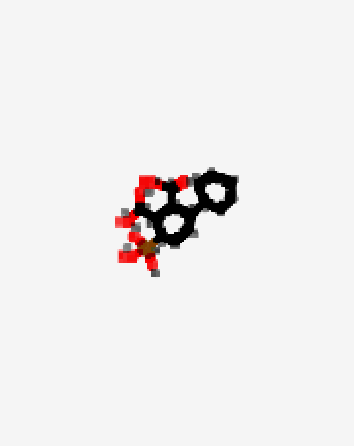 O=C(O)c1c(-c2ccccc2)ccc(S(=O)(=O)O)c1C(=O)O